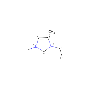 C.CCN1C=CN(C)C1